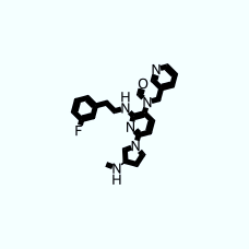 CN[C@H]1CCN(c2ccc(N(C=O)Cc3cccnc3)c(NCCc3cccc(F)c3)n2)C1